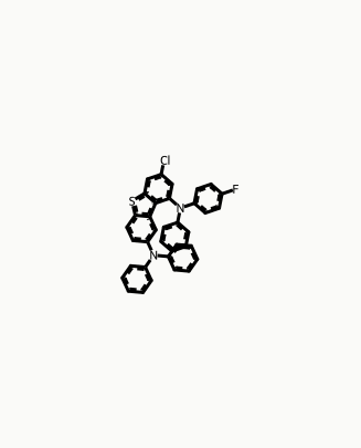 Fc1ccc(N(c2ccccc2)c2cc(Cl)cc3sc4ccc(N(c5ccccc5)c5ccccc5)cc4c23)cc1